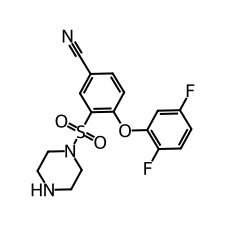 N#Cc1ccc(Oc2cc(F)ccc2F)c(S(=O)(=O)N2CCNCC2)c1